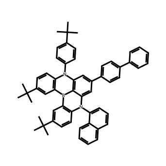 CC(C)(C)c1ccc(N2c3ccc(C(C)(C)C)cc3B3c4cc(C(C)(C)C)ccc4N(c4cccc5ccccc45)c4cc(-c5ccc(-c6ccccc6)cc5)cc2c43)cc1